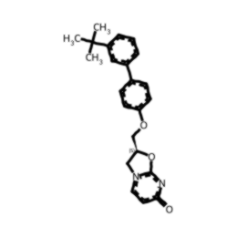 CC(C)(C)c1cccc(-c2ccc(OC[C@@H]3Cn4ccc(=O)nc4O3)cc2)c1